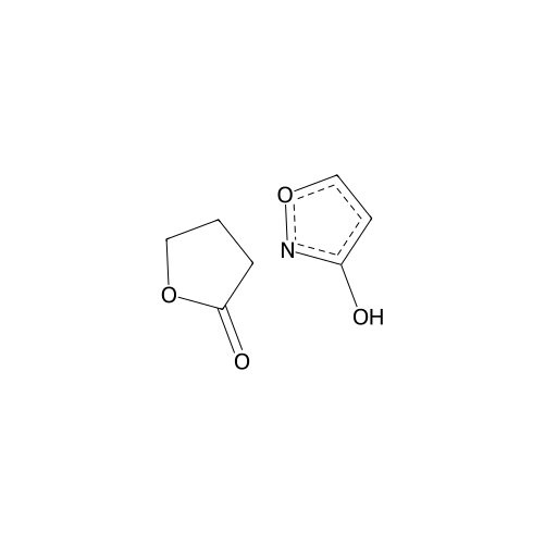 O=C1CCCO1.Oc1ccon1